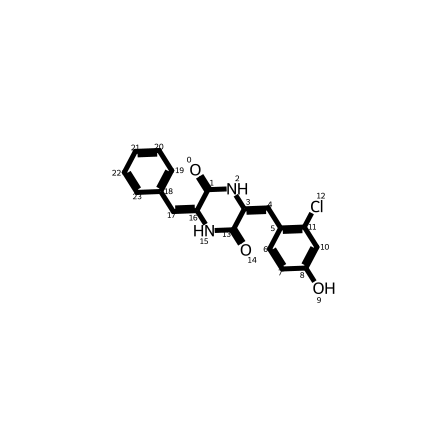 O=c1[nH]c(=Cc2ccc(O)cc2Cl)c(=O)[nH]c1=Cc1ccccc1